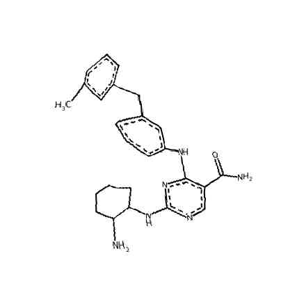 Cc1cccc(Cc2cccc(Nc3nc(NC4CCCCC4N)ncc3C(N)=O)c2)c1